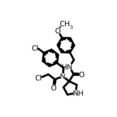 COc1ccc(CNC(=O)C2(N(Cc3ccc(Cl)cc3)C(=O)CCl)CCNC2)cc1